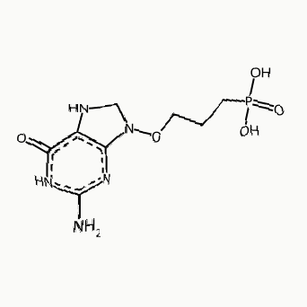 Nc1nc2c(c(=O)[nH]1)NCN2OCCCP(=O)(O)O